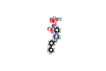 CCCCCCCCCCOC(=O)OCn1c(=O)oc2c(N3CCN(Cc4cccc(-c5ccccc5)c4)CC3)cccc21